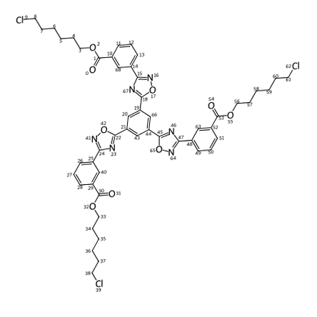 O=C(OCCCCCCCl)c1cccc(-c2noc(-c3cc(-c4nc(-c5cccc(C(=O)OCCCCCCCl)c5)no4)cc(-c4nc(-c5cccc(C(=O)OCCCCCCCl)c5)no4)c3)n2)c1